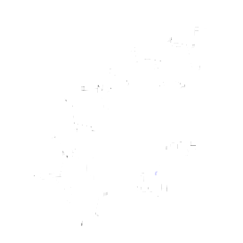 O=C(O)/C=C/C(=O)O.O=C1c2ccccc2CN1CC1CCN(CCSc2cccc(F)c2)CC1